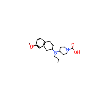 CCCN(C1CCN(C(=O)O)CC1)C1CCc2ccc(OC)cc2C1